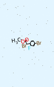 CCOC(=O)C(Br)c1ccc(Br)cc1F